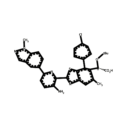 Cc1cc2nc(-c3nc(-c4ccc5c(cnn5C)c4)ccc3N)sc2c(-c2ccc(Cl)cc2)c1[C@H](OC(C)(C)C)C(=O)O